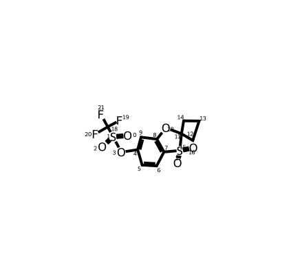 O=S(=O)(Oc1ccc2c(c1)OC1(CCC1)S2(=O)=O)C(F)(F)F